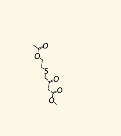 COC(=O)CC(=O)CSCCOC(C)=O